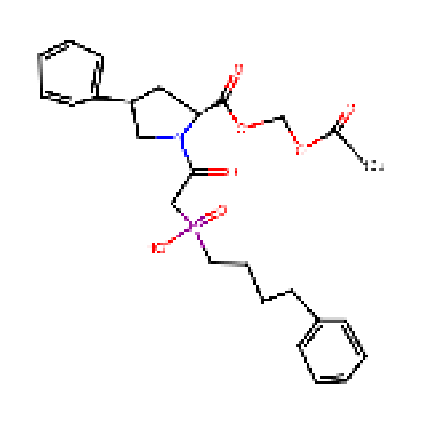 CC(C)(C)C(=O)OCOC(=O)[C@@H]1C[C@H](c2ccccc2)CN1C(=O)CP(=O)(O)CCCCc1ccccc1